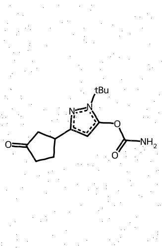 CC(C)(C)n1nc(C2CCC(=O)C2)cc1OC(N)=O